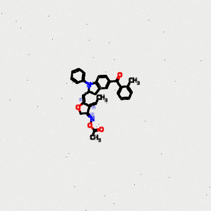 C/C=C1C(=N/OC(C)=O)/COC/1=C/C1Cc2cc(C(=O)c3ccccc3C)ccc2N1c1ccccc1